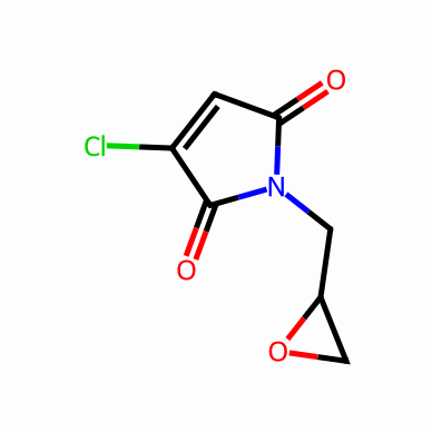 O=C1C=C(Cl)C(=O)N1CC1CO1